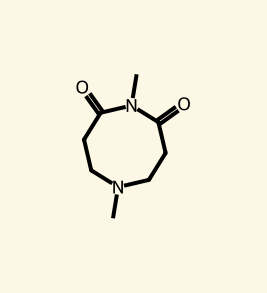 CN1CCC(=O)N(C)C(=O)CC1